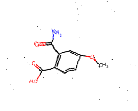 COc1ccc(C(=O)O)c(C(N)=O)c1